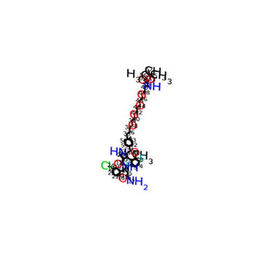 Cc1c(F)ccc(F)c1-c1c(C(=O)N[C@@H](CC(N)=O)c2cccc(Cl)c2)c[nH]c1C(=O)c1ccc(CCCOCCOCCOCCOCCNC(=O)OC(C)(C)C)cc1